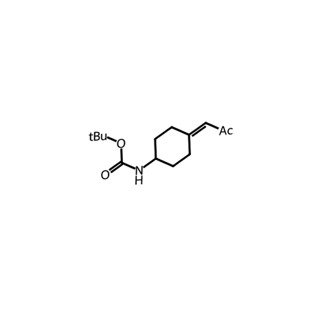 CC(=O)C=C1CCC(NC(=O)OC(C)(C)C)CC1